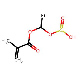 C=C(C)C(=O)OC(CC)OS(=O)O